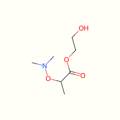 CC(ON(C)C)C(=O)OCCO